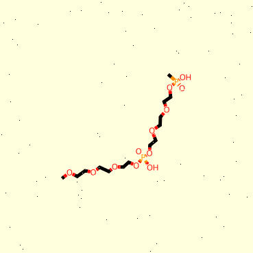 COCCOCCOCCOP(=O)(O)OCCOCCOCCOP(C)(=O)O